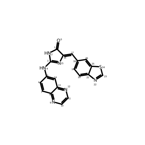 O=C1NC(Nc2ccc3nccnc3c2)=N/C1=C\c1ccc2ncsc2c1